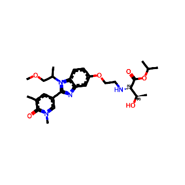 COCC(C)n1c(-c2cc(C)c(=O)n(C)c2)nc2cc(OCCN[C@H](C(=O)OC(C)C)[C@@H](C)O)ccc21